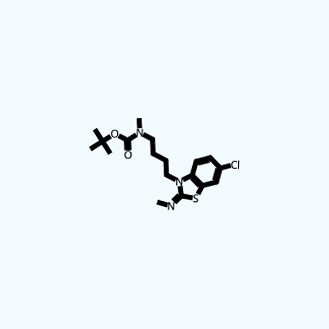 C/N=c1/sc2cc(Cl)ccc2n1CCCCN(C)C(=O)OC(C)(C)C